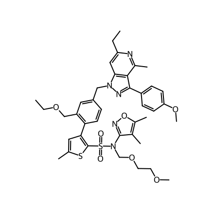 CCOCc1cc(Cn2nc(-c3ccc(OC)cc3)c3c(C)nc(CC)cc32)ccc1-c1cc(C)sc1S(=O)(=O)N(COCCOC)c1noc(C)c1C